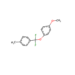 COc1ccc(OC(F)(F)c2ccc(C)cc2)cc1